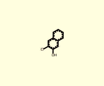 Oc1[c]c2ccccc2cc1Cl